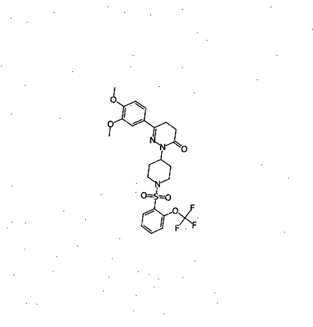 COc1ccc(C2=NN(C3CCN(S(=O)(=O)c4ccccc4OC(F)(F)F)CC3)C(=O)CC2)cc1OC